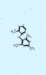 Cc1cc(C)c([I+]c2ccccc2C)c(C)c1